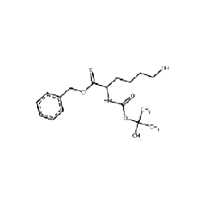 CC(C)(C)OC(=O)NC(CCCCO)C(=O)OCc1ccccc1